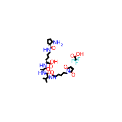 CC(C)[C@H](NC(=O)CCCCCN1C(=O)C=CC1=O)C(=O)N[C@@H](C)C(=O)N[C@@H](CCCCNC(=O)[C@@H]1CCC[C@@H]1N)C(=O)O.O=C(O)C(F)(F)F